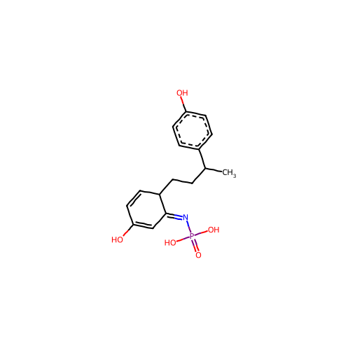 CC(CCC1C=CC(O)=CC1=NP(=O)(O)O)c1ccc(O)cc1